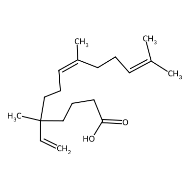 C=CC(C)(CCC=C(C)CCC=C(C)C)CCCC(=O)O